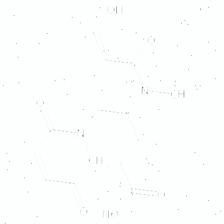 CN(CC(CCC(=O)O)N(C)C(=O)/C=C\O)C(=O)/C=C\C=O